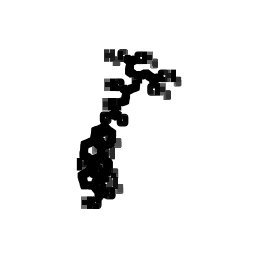 CC(C)CN(CC(C)C)CC(O)CNC(=O)OC1CC[C@@]2(C)C(CC[C@@H]3[C@H]2CC[C@]2(C)C(C(=O)O)CC[C@@]32N)C1